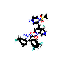 COC(=O)N(C(=O)[C@@H](N)[C@@H](c1ccc(F)cc1)c1cc(F)cc(F)c1)c1cncc(F)c1CC[C@H]1CNCCN1S(=O)(=O)C1CC1